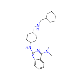 CN(C)c1nc(N[C@H]2CC[C@@H](CNCC3CCCCC3)CC2)nc2ccccc12